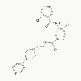 O=C(NCCN1CCN(c2ccncc2)CC1)c1ccc(Cl)c(NC(=O)c2ccccc2Cl)c1